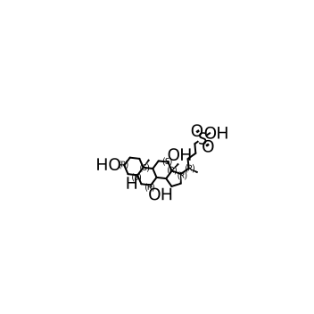 C[C@H](CCCS(=O)(=O)O)[C@H]1CCC2C3C(C[C@H](O)[C@@]21C)[C@@]1(C)CC[C@@H](O)C[C@H]1C[C@H]3O